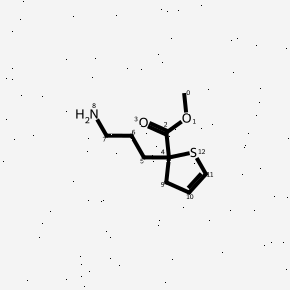 COC(=O)C1(CCCN)CC=CS1